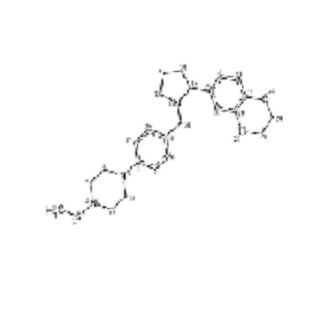 CSN1CCN(c2ccc(CN3CCCC3c3ccc4c(c3)OCCO4)cc2)CC1